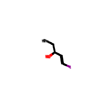 CCCC[C@H](O)C=CI